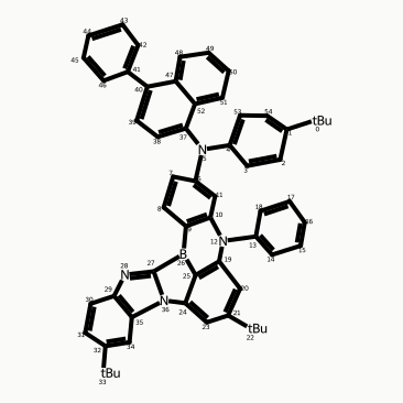 CC(C)(C)c1ccc(N(c2ccc3c(c2)N(c2ccccc2)c2cc(C(C)(C)C)cc4c2B3c2nc3ccc(C(C)(C)C)cc3n2-4)c2ccc(-c3ccccc3)c3ccccc23)cc1